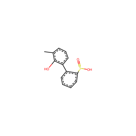 Cc1cccc(-c2ccccc2S(=O)O)c1O